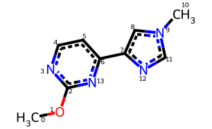 COc1nccc(-c2cn(C)cn2)n1